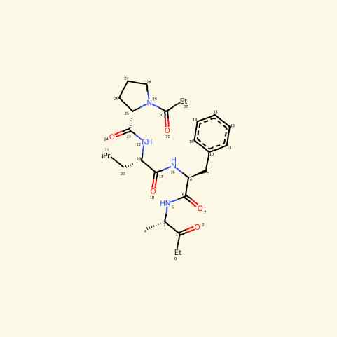 CCC(=O)[C@H](C)NC(=O)[C@H](Cc1ccccc1)NC(=O)[C@H](CC(C)C)NC(=O)[C@@H]1CCCN1C(=O)CC